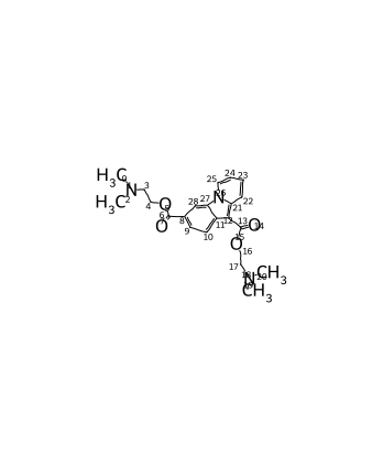 CN(C)CCOC(=O)c1ccc2c(C(=O)OCCN(C)C)c3ccccn3c2c1